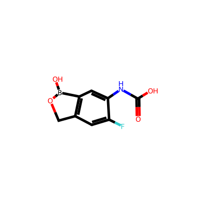 O=C(O)Nc1cc2c(cc1F)COB2O